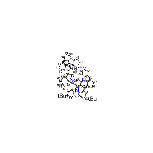 CC(C)(C)c1ccc(N2c3ccc(C(C)(C)C)cc3B3c4ccccc4N(c4ccccc4)c4cc(N5c6ccc([Si](c7ccccc7)(c7ccccc7)c7ccccc7)cc6C6(C)CC(C)(C)C(C)(C)CC56C)cc2c43)cc1